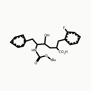 CC(C)(C)OC(=O)NC(Cc1ccccc1)C(O)CC(Cc1ccccc1F)C(=O)O